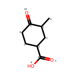 CC1CC(C(=O)O)CCC1=O